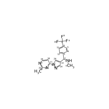 CNC(c1ccc(C(F)(F)F)cc1)c1cnn(-c2ccnc(C)n2)c1